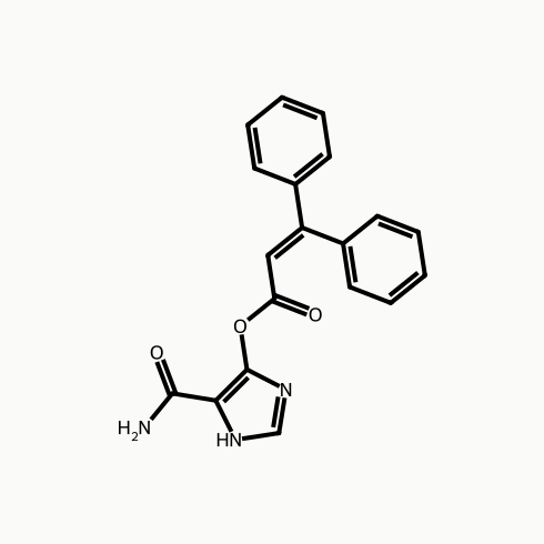 NC(=O)c1[nH]cnc1OC(=O)C=C(c1ccccc1)c1ccccc1